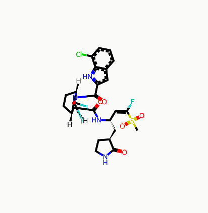 CS(=O)(=O)/C(F)=C\[C@H](C[C@@H]1CCNC1=O)NC(=O)[C@H]1[C@@H]2CC[C@@H](CC2(F)F)N1C(=O)c1cc2cccc(Cl)c2[nH]1